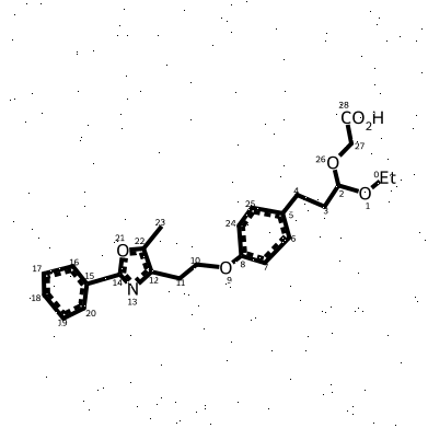 CCOC(CCc1ccc(OCCc2nc(-c3ccccc3)oc2C)cc1)OCC(=O)O